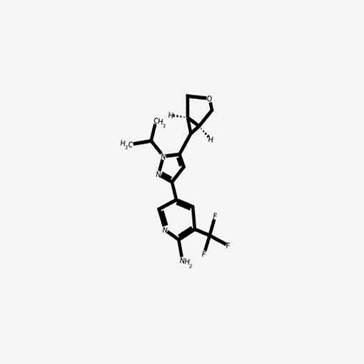 CC(C)n1nc(-c2cnc(N)c(C(F)(F)F)c2)cc1C1[C@H]2COC[C@@H]12